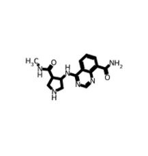 CNC(=O)C1CNCC1Nc1ncnc2c(C(N)=O)cccc12